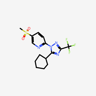 CS(=O)(=O)c1ccc(-n2nc(C(F)(F)F)nc2C2CCCCC2)nc1